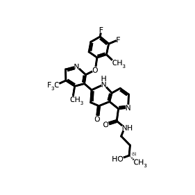 Cc1c(Oc2ncc(C(F)(F)F)c(C)c2-c2cc(=O)c3c(C(=O)NCC[C@H](C)O)nccc3[nH]2)ccc(F)c1F